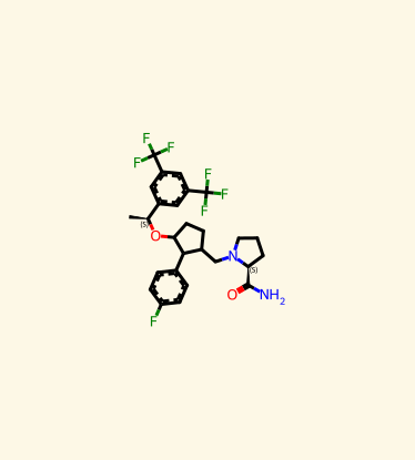 C[C@H](OC1CCC(CN2CCC[C@H]2C(N)=O)C1c1ccc(F)cc1)c1cc(C(F)(F)F)cc(C(F)(F)F)c1